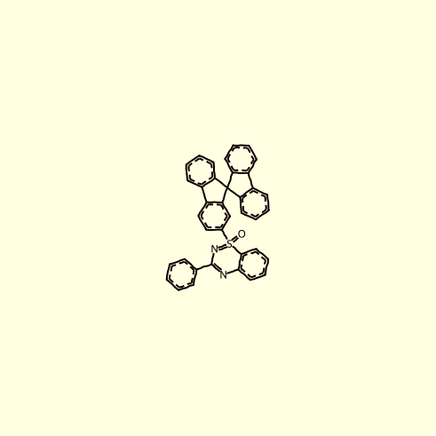 O=S1(c2ccc3c(c2)C2(c4ccccc4-c4ccccc42)c2ccccc2-3)=NC(c2ccccc2)=Nc2ccccc21